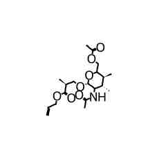 C=CCOC(=O)[C@@H](C)CO[C@@H]1OC(COC(C)=O)[C@@H](C)[C@H](C)C1NC(C)=O